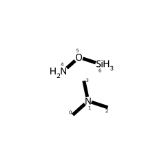 CN(C)C.NO[SiH3]